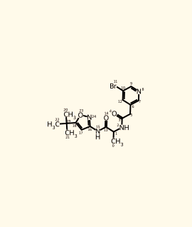 CC(NC(=O)Cc1cncc(Br)c1)C(=O)Nc1cc(C(C)(C)C)on1